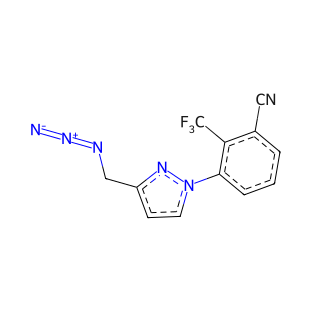 N#Cc1cccc(-n2ccc(CN=[N+]=[N-])n2)c1C(F)(F)F